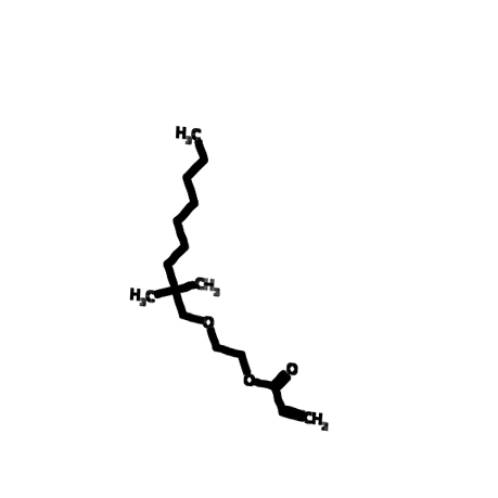 C=CC(=O)OCCOCC(C)(C)CCCCCCC